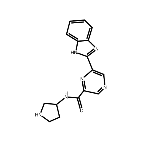 O=C(NC1CCNC1)c1cncc(-c2nc3ccccc3[nH]2)n1